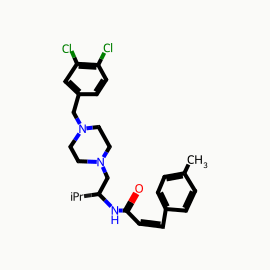 Cc1ccc(/C=C\C(=O)NC(CN2CCN(Cc3ccc(Cl)c(Cl)c3)CC2)C(C)C)cc1